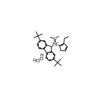 CCC1=[C]([Hf]([CH]2c3cc(C(C)(C)C)ccc3-c3ccc(C(C)(C)C)cc32)=[Si](C)C)CC=C1.Cl.Cl